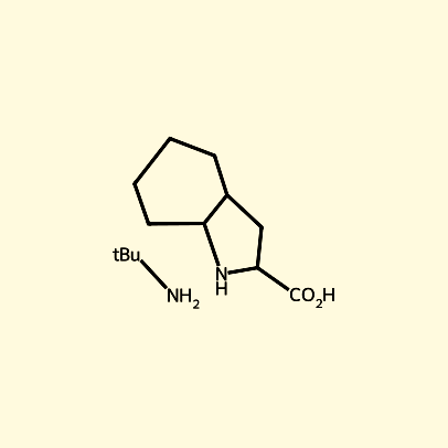 CC(C)(C)N.O=C(O)C1CC2CCCCC2N1